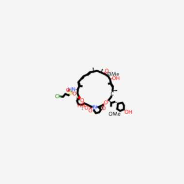 CO[C@@H]1C[C@H](CC(C)[C@@H]2CC[C@H](C)/C=C(\C)[C@@H](O)[C@@H](OC)C(=O)[C@H](C)C[C@H](C)/C=C/C=C/C=C(\C)[C@@H](NS(=O)(=O)CCCCl)C[C@@H]3CC[C@@H](C)[C@@](O)(O3)C(=O)C(=O)N3CCCC[C@H]3C(=O)O2)CC[C@H]1O